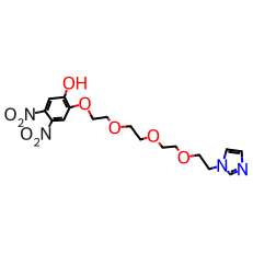 O=[N+]([O-])c1cc(O)c(OCCOCCOCCOCCn2ccnc2)cc1[N+](=O)[O-]